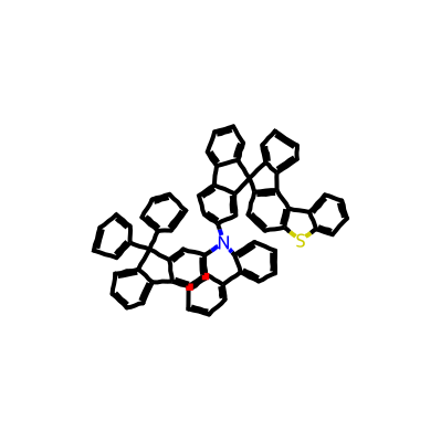 c1ccc(-c2ccccc2N(c2ccc3c(c2)C(c2ccccc2)(c2ccccc2)c2ccccc2-3)c2ccc3c(c2)C2(c4ccccc4-3)c3ccccc3-c3c2ccc2sc4ccccc4c32)cc1